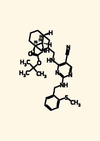 CSc1ccccc1CNc1ncc(C#N)c(NCC2C[C@H]3CCC[C@@H](C2)[C@@H]3NC(=O)OC(C)(C)C)n1